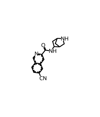 N#Cc1ccc2cnc(C(=O)NC3CC4CC3CN4)cc2c1